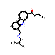 CCCC(=O)c1cccc2c3cccc(CNCC(C)C)c3nc-2c1